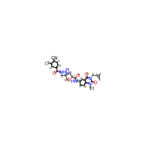 CCn1c(=O)n(CC2CC2)c(=O)c2cc(NC(=O)C3CNC(CNC(=O)c4ccc(C#N)c(Cl)c4)CO3)ccc21